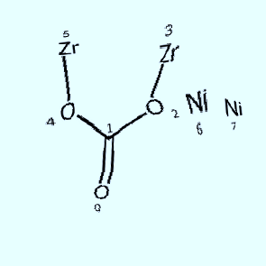 O=C([O][Zr])[O][Zr].[Ni].[Ni]